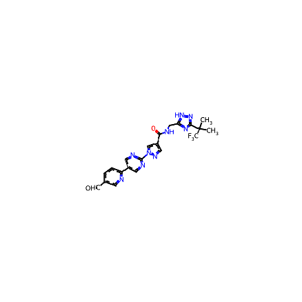 CC(C)(c1n[nH]c(CNC(=O)c2cnn(-c3ncc(-c4ccc(C=O)cn4)cn3)c2)n1)C(F)(F)F